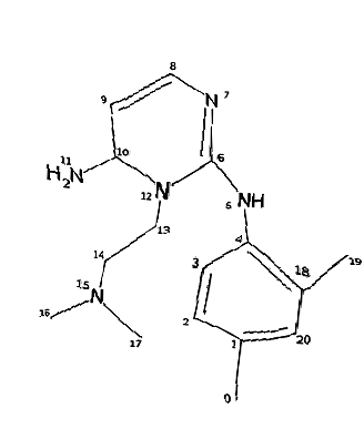 Cc1ccc(NC2=NC=CC(N)N2CCN(C)C)c(C)c1